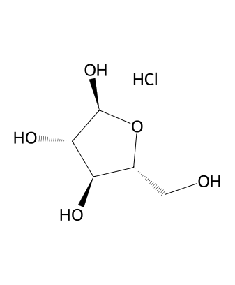 Cl.OC[C@H]1O[C@H](O)[C@@H](O)[C@@H]1O